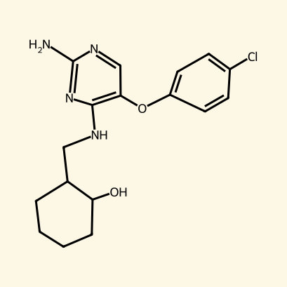 Nc1ncc(Oc2ccc(Cl)cc2)c(NCC2CCCCC2O)n1